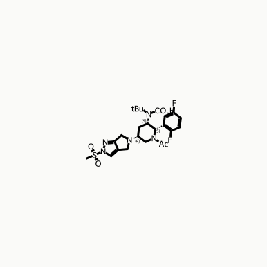 CC(=O)N1C[C@H](N2Cc3cn(S(C)(=O)=O)nc3C2)C[C@H](N(C(=O)O)C(C)(C)C)[C@@H]1c1cc(F)ccc1F